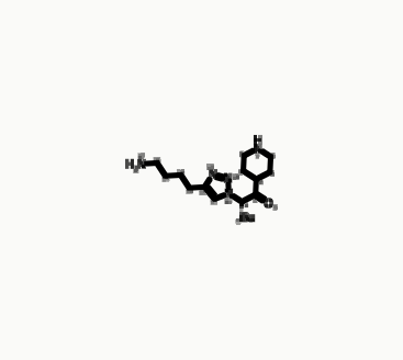 CC[C@@H](C)C(C(=O)C1CCNCC1)n1cc(CCCCN)nn1